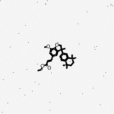 CCOC(=O)C=Cc1cc(OC)c2c(c1)C(C)(c1ccc3c(c1)C(C)(C)CCC3(C)C)CO2